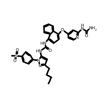 CCCCc1cc(NC(=O)Nc2ccc(Oc3ccnc(NC(N)=O)c3)c3ccccc23)n(-c2ccc(S(C)(=O)=O)cc2)n1